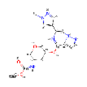 Cn1cc(-c2cn3nccc3c(O[C@@H]3COC[C@@H](NC(=O)OC(C)(C)C)C3)n2)cn1